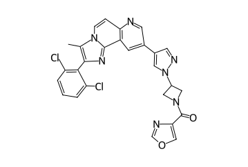 Cc1c(-c2c(Cl)cccc2Cl)nc2c3cc(-c4cnn(C5CN(C(=O)c6cocn6)C5)c4)cnc3ccn12